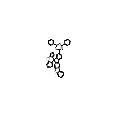 c1ccc(-c2nc(-c3ccccc3)nc(-c3ccc4c(c3)C3(c5ccccc5Oc5ccccc53)c3cc5sc6ccccc6c5cc3-4)n2)cc1